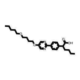 CCCCCOCCCCOc1cnc(-c2ccc(C(CCCC)C(=O)O)cc2)nc1